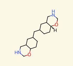 C1NCC2CC(CC3CC[C@H]4OCNCC4C3)CCC2O1